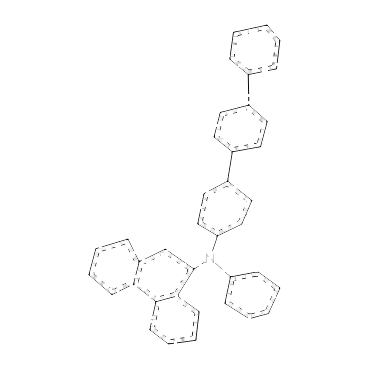 c1ccc(-c2ccc(-c3ccc(N(c4ccccc4)c4cc5ccccc5c5ccccc45)cc3)cc2)cc1